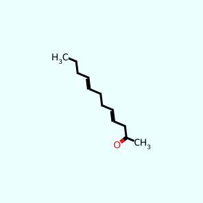 CCCC=CCCC=CCC(C)=O